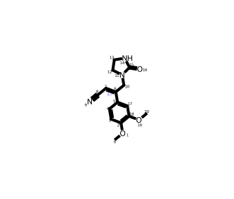 COc1ccc(/C(=C\C#N)CN2CCNC2=O)cc1OC